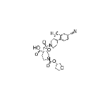 Cc1cc(C#N)ccc1C1=CCN(S(=O)(=O)CC2(C(=O)O)CCN(C(=O)O[C@H]3CCOC3)CC2)CC1